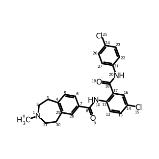 CN1CCc2ccc(C(=O)Nc3ccc(Cl)cc3C(=O)Nc3ccc(Cl)cc3)cc2CC1